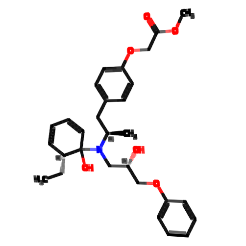 CC[C@@H]1C=CC=CC1(O)N(C[C@H](O)COc1ccccc1)[C@H](C)Cc1ccc(OCC(=O)OC)cc1